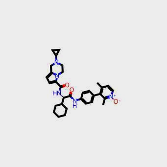 Cc1cc[n+]([O-])c(C)c1-c1ccc(NC(=O)[C@@H](NC(=O)c2ccc3n2CCN(C2CC2)C3)C2CCCCC2)cc1